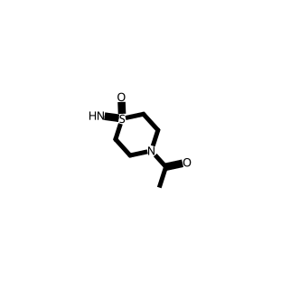 CC(=O)N1CCS(=N)(=O)CC1